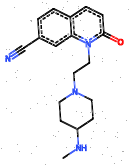 CNC1CCN(CCn2c(=O)ccc3ccc(C#N)cc32)CC1